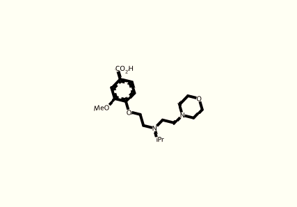 COc1cc(C(=O)O)ccc1OCCN(CCN1CCOCC1)C(C)C